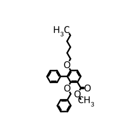 CCCCCCOc1ccc(C(=O)OC)c(OCc2ccccc2)c1-c1ccccc1